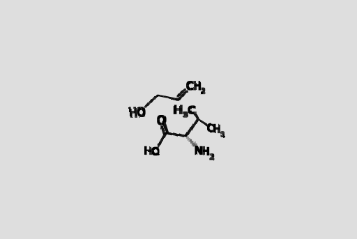 C=CCO.CC(C)[C@H](N)C(=O)O